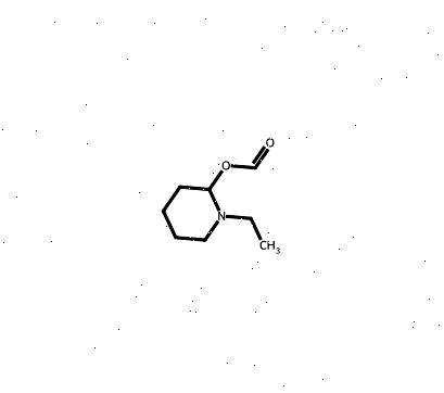 CCN1CCCCC1OC=O